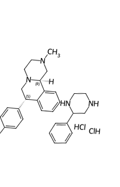 CN1CCN2C[C@@H](c3ccc(Cl)cc3)c3ccccc3[C@@H]2C1.Cl.Cl.c1ccc(C2CNCCN2)cc1